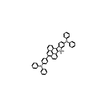 C[Si]1(C)c2cc(N(c3ccccc3)c3ccccc3)ccc2-c2c1c1cccc3c(-c4ccc(N(c5ccccc5)c5ccccc5)cc4)cc4cccc2c4c31